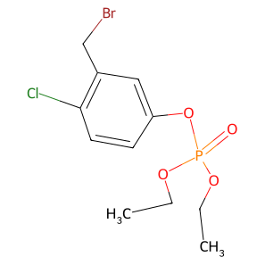 CCOP(=O)(OCC)Oc1ccc(Cl)c(CBr)c1